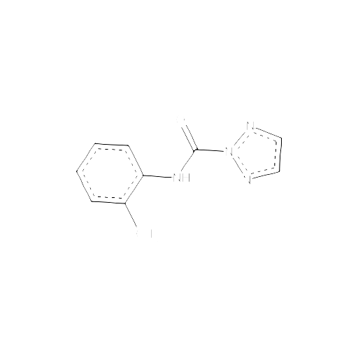 Cc1ccccc1NC(=O)n1nccn1